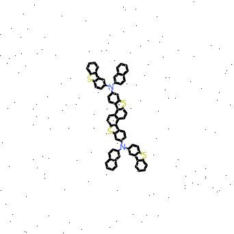 c1ccc2cc(N(c3ccc4c(c3)sc3ccc5c(ccc6sc7cc(N(c8ccc9ccccc9c8)c8ccc9sc%10ccccc%10c9c8)ccc7c65)c34)c3ccc4sc5ccccc5c4c3)ccc2c1